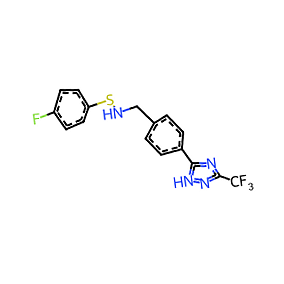 Fc1ccc(SNCc2ccc(-c3nc(C(F)(F)F)n[nH]3)cc2)cc1